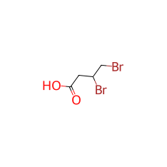 O=C(O)CC(Br)CBr